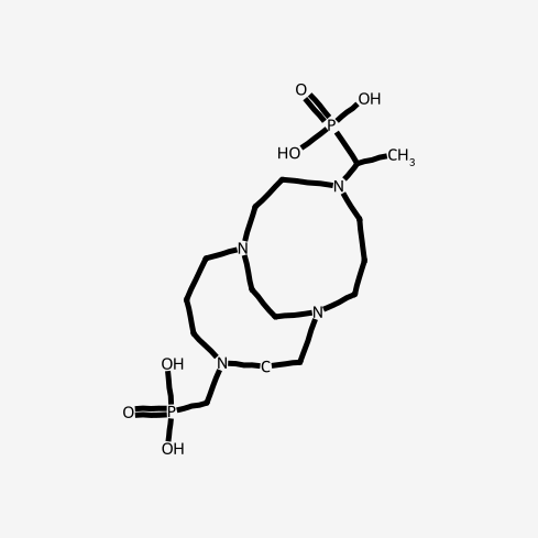 CC(N1CCCN2CCN(CCCN(CP(=O)(O)O)CC2)CC1)P(=O)(O)O